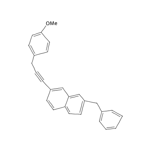 COc1ccc(CC#Cc2ccc3ccc(Cc4ccccc4)cc3c2)cc1